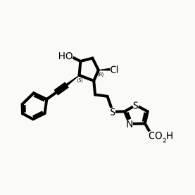 O=C(O)c1csc(SCCC2[C@@H](C#Cc3ccccc3)C(O)C[C@H]2Cl)n1